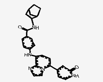 O=C(NC1CC2CCC1C2)c1ccc(Nc2ccc(-c3cc[nH]c(=O)c3)n3ccnc23)cc1